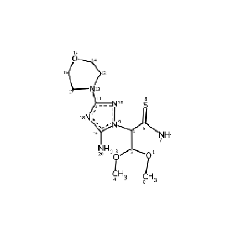 COC(OC)C(C([NH])=S)n1nc(N2CCOCC2)nc1N